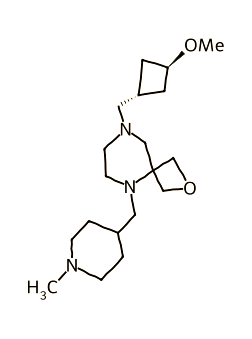 CO[C@H]1C[C@H](CN2CCN(CC3CCN(C)CC3)C3(COC3)C2)C1